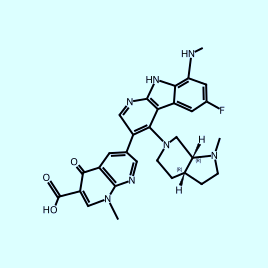 CNc1cc(F)cc2c1[nH]c1ncc(-c3cnc4c(c3)c(=O)c(C(=O)O)cn4C)c(N3CC[C@H]4CCN(C)[C@H]4C3)c12